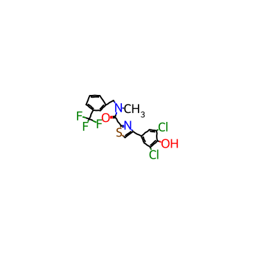 CN(Cc1cccc(C(F)(F)F)c1)C(=O)c1nc(-c2cc(Cl)c(O)c(Cl)c2)cs1